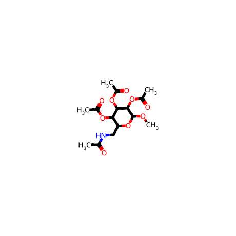 COC1OC(CNC(C)=O)C(OC(C)=O)C(OC(C)=O)C1OC(C)=O